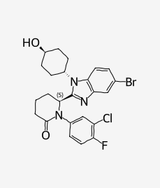 O=C1CCC[C@@H](c2nc3cc(Br)ccc3n2[C@H]2CC[C@H](O)CC2)N1c1ccc(F)c(Cl)c1